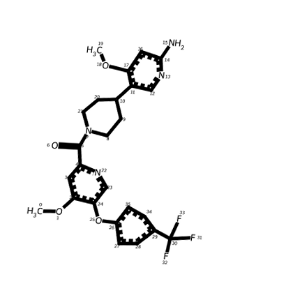 COc1cc(C(=O)N2CCC(c3cnc(N)cc3OC)CC2)ncc1Oc1ccc(C(F)(F)F)cc1